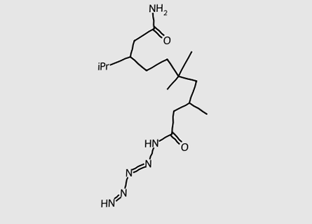 CC(CC(=O)NN=NN=N)CC(C)(C)CCC(CC(N)=O)C(C)C